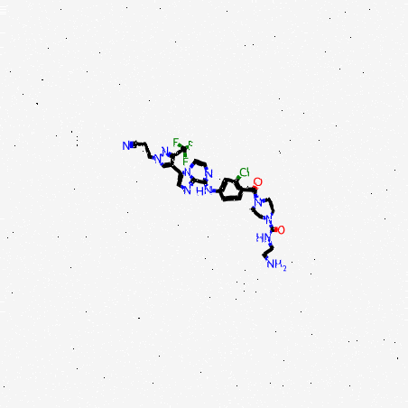 N#CCCn1cc(-c2cnc3c(Nc4ccc(C(=O)N5CCN(C(=O)NCCN)CC5)c(Cl)c4)nccn23)c(C(F)(F)F)n1